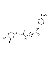 COc1ccc(CNC(=O)C23CC(NC(=O)COc4ccc(Cl)c(F)c4)(C2)C3)cn1